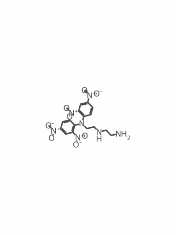 NCCNCCN(c1ccc([N+](=O)[O-])cc1[N+](=O)[O-])c1ccc([N+](=O)[O-])cc1[N+](=O)[O-]